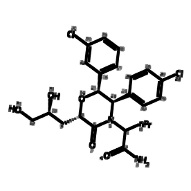 CCCC(C(N)=O)N1C(=O)[C@H](C[C@H](O)CO)O[C@@H](c2cccc(Cl)c2)[C@H]1c1ccc(Cl)cc1